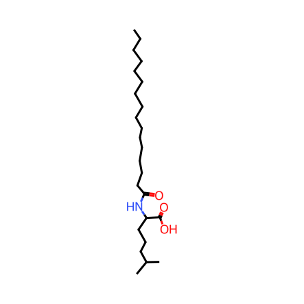 CCCCCCCCCCCCCCCC(=O)NC(CCCC(C)C)C(=O)O